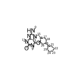 CNc1nc2c(c(=O)n(C)c(=O)n2C)n1Cc1ccc(-c2ccccc2)cc1